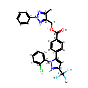 Cc1nn(-c2ccccc2)nc1COC(=O)c1ccc(-c2cc(C(F)(F)F)nn2-c2ccccc2Cl)cc1